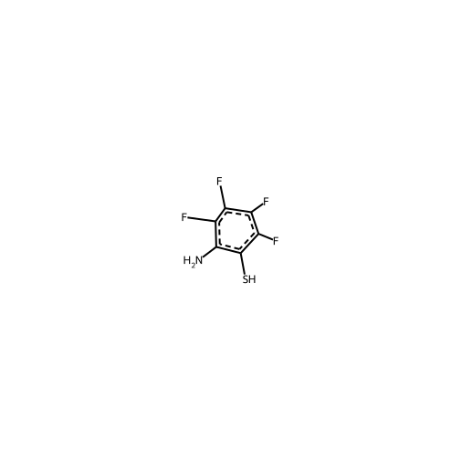 Nc1c(F)c(F)c(F)c(F)c1S